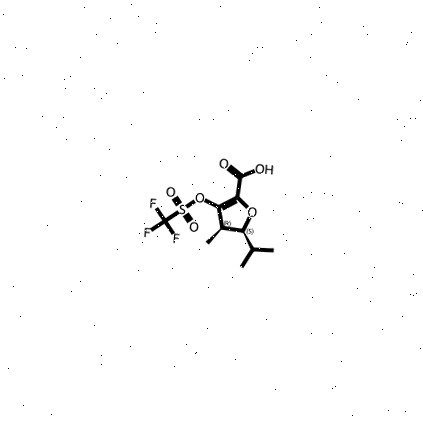 CC(C)[C@@H]1OC(C(=O)O)=C(OS(=O)(=O)C(F)(F)F)[C@@H]1C